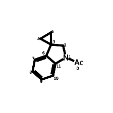 [CH2]C(=O)N1CC2(CC2)c2ccccc21